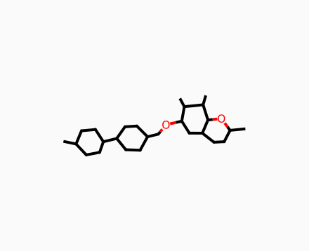 CC1CCC(C2CCC(COC3CC4CCC(C)OC4C(C)C3C)CC2)CC1